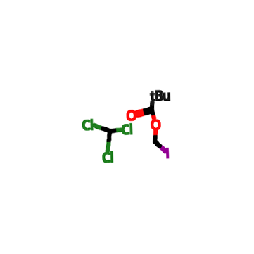 CC(C)(C)C(=O)OCI.ClC(Cl)Cl